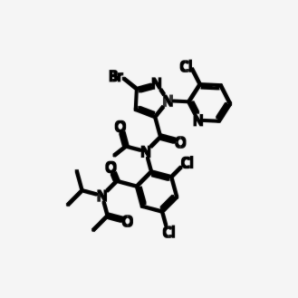 CC(=O)N(C(=O)c1cc(Br)nn1-c1ncccc1Cl)c1c(Cl)cc(Cl)cc1C(=O)N(C(C)=O)C(C)C